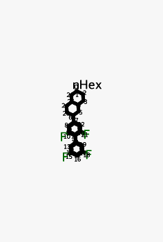 CCCCCCC1CCC2CC(c3cc(F)c(-c4cc(F)cc(F)c4)c(F)c3)CCC2C1